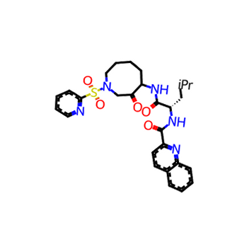 CC(C)C[C@H](NC(=O)c1ccc2ccccc2n1)C(=O)NC1CCCCN(S(=O)(=O)c2ccccn2)CC1=O